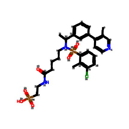 Cc1cnccc1-c1cccc(C(C)N(CCCCC(=O)NCCS(=O)(=O)O)S(=O)(=O)c2cccc(Cl)c2C)c1